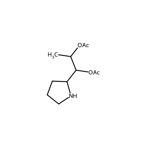 CC(=O)OC(C)C(OC(C)=O)C1CCCN1